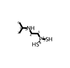 CC(C)NCCP(S)S